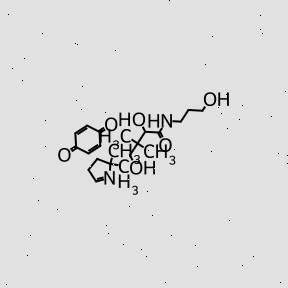 CC(C)(CO)C(O)C(=O)NCCCO.CC1(C)CCC=N1.O=C1C=CC(=O)C=C1